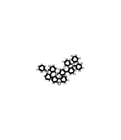 c1ccc(-n2c3ccccc3c3c(N(c4ccc(-c5cccc([Si](c6ccccc6)(c6ccccc6)c6ccccc6)c5)cc4)c4cccc5oc6ccccc6c45)cccc32)cc1